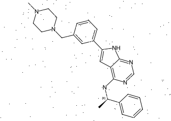 C[C@@H]([N]c1ncnc2[nH]c(-c3cccc(CN4CCN(C)CC4)c3)cc12)c1ccccc1